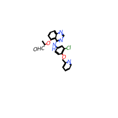 C[C@@H](C=O)Oc1cccc2ncnc(Nc3ccc(OCc4ccccn4)c(Cl)c3)c12